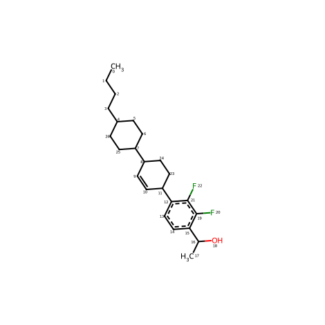 CCCCC1CCC(C2C=CC(c3ccc(C(C)O)c(F)c3F)CC2)CC1